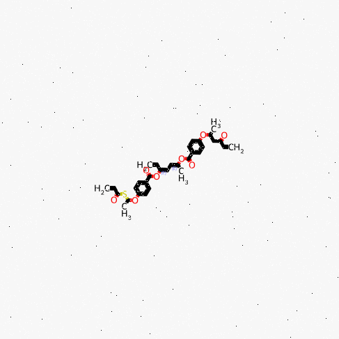 C=CC(=O)CC(C)Oc1ccc(C(=O)O/C(C)=C/C=C(\C=C)OC(=O)c2ccc(OC(C)SC(=O)C=C)cc2)cc1